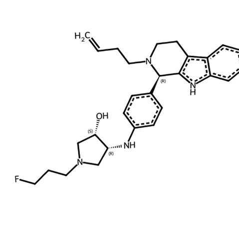 C=CCCN1CCc2c([nH]c3ccccc23)[C@H]1c1ccc(N[C@@H]2CN(CCCF)C[C@@H]2O)cc1